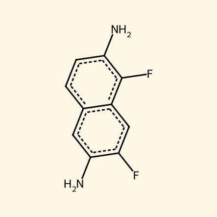 Nc1cc2ccc(N)c(F)c2cc1F